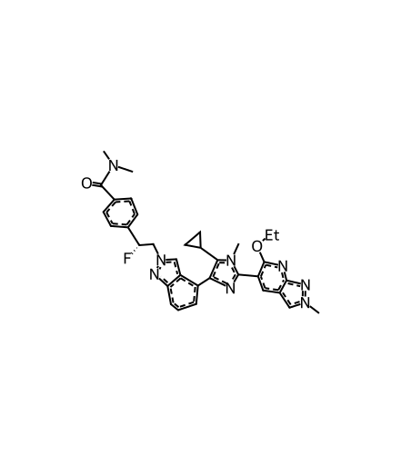 CCOc1nc2nn(C)cc2cc1-c1nc(-c2cccc3nn(C[C@H](F)c4ccc(C(=O)N(C)C)cc4)cc23)c(C2CC2)n1C